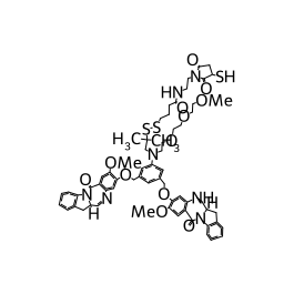 COCCOCCOCCN(CC(C)(C)SSCCCC(=O)NCCN1C(=O)CC(S)C1=O)c1cc(COc2cc3c(cc2OC)C(=O)N2c4ccccc4C[C@H]2C=N3)cc(COc2cc3c(cc2OC)C(=O)N2c4ccccc4C[C@H]2CN3)c1